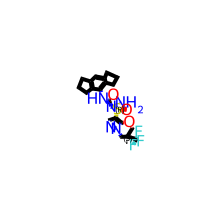 C[C@@]1(C(F)(F)F)COc2c([S@](N)(=O)=NC(=O)Nc3c4c(cc5c3CCC5)CCC4)cnn2C1